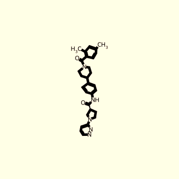 Cc1ccc(C(=O)N2CCC(c3ccc(NC(=O)[C@H]4CCN(c5cccnn5)C4)cc3)CC2)c(C)c1